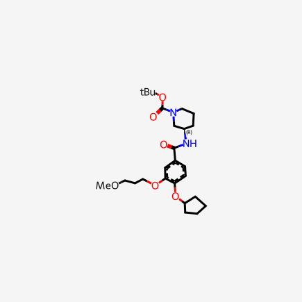 COCCCOc1cc(C(=O)N[C@@H]2CCCN(C(=O)OC(C)(C)C)C2)ccc1OC1CCCC1